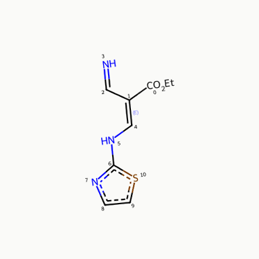 CCOC(=O)/C(C=N)=C/Nc1nccs1